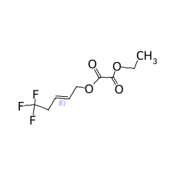 CCOC(=O)C(=O)OC/C=C/CC(F)(F)F